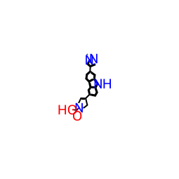 Cn1cc(-c2ccc3c(c2)[nH]c2ccc(C4=CCN(C(=O)O)CC4)cc23)cn1